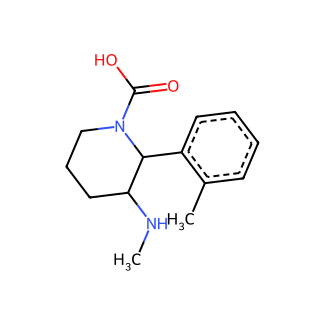 CNC1CCCN(C(=O)O)C1c1ccccc1C